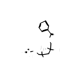 CC(C)(COC(=O)c1ccccc1)CC(C)(C)COS(=O)(=O)Cl